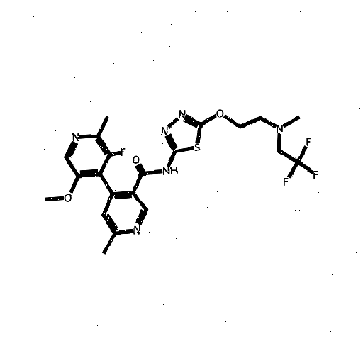 COc1cnc(C)c(F)c1-c1cc(C)ncc1C(=O)Nc1nnc(OCCN(C)CC(F)(F)F)s1